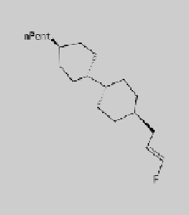 CCCCC[C@H]1CC[C@H]([C@H]2CC[C@H](C/C=C/F)CC2)CC1